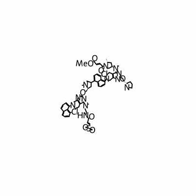 COC(=O)/C=C/C(=O)N1C[C@H](N(C)c2nc(OC[C@@H]3CCCN3C)nc3c2CCN(c2cccc4c(C5C[C@@H](COc6nc7c(c(N(C)CCNC(=O)/C=C/S(C)(=O)=O)n6)CCN(c6cccc8cccc(Cl)c68)C7)N(C)C5)ccc(Cl)c24)C3)C[C@H]1C